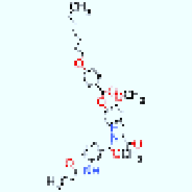 CCCCCCCOc1ccc(C(=O)Oc2ccc(CC(NC(=O)c3cccc(NC(=O)CC)c3)C(C)=O)cc2OC)cc1